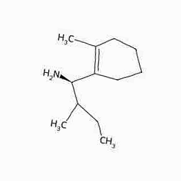 CCC(C)[C@@H](N)C1=C(C)CCCC1